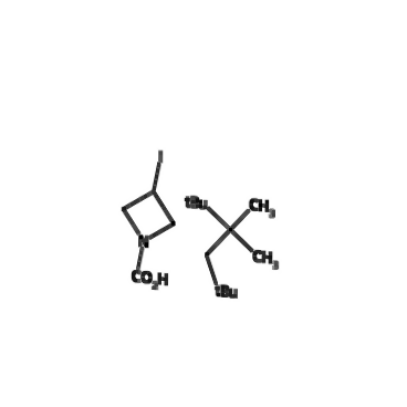 CC(C)(C)CC(C)(C)C(C)(C)C.O=C(O)N1CC(I)C1